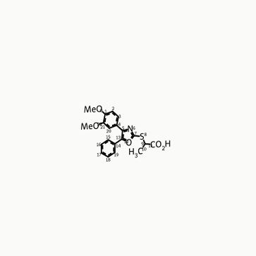 COc1ccc(-c2nc(SC(C)C(=O)O)oc2-c2ccccc2)cc1OC